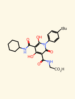 CC(C)(C)c1ccc(-n2c(O)c(C(=O)NC3CCCCC3)c(O)c(C(=O)NCC(=O)O)c2=O)cc1